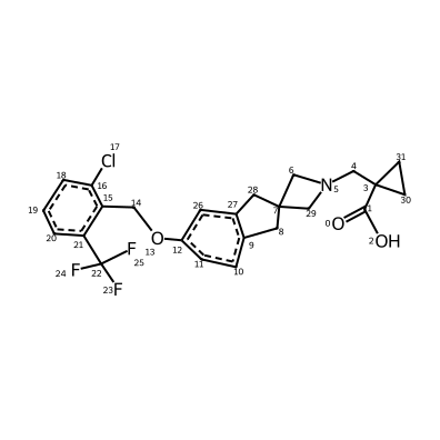 O=C(O)C1(CN2CC3(Cc4ccc(OCc5c(Cl)cccc5C(F)(F)F)cc4C3)C2)CC1